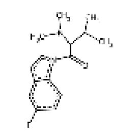 CC(C)C(C(=O)n1ccc2cc(F)ccc21)N(C)C